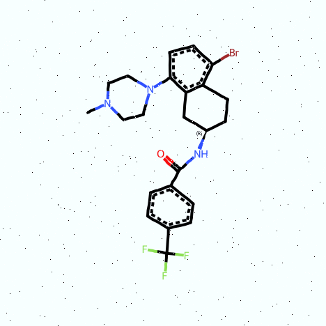 CN1CCN(c2ccc(Br)c3c2C[C@H](NC(=O)c2ccc(C(F)(F)F)cc2)CC3)CC1